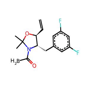 BC(=O)N1[C@@H](Cc2cc(F)cc(F)c2)[C@H](C=C)OC1(C)C